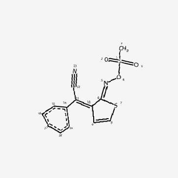 CS(=O)(=O)O/N=C1\SC=C\C1=C(\C#N)c1ccccc1